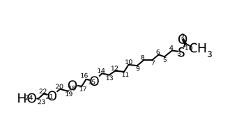 CC(=O)SCCCCCCCCCCCOCCOCCOCCO